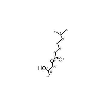 CC(C)CCCCC(=O)OCC(C)O